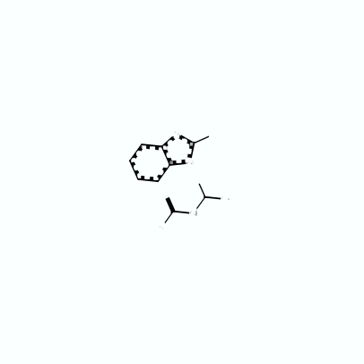 NC(=S)NC(O)O.Sc1nc2ccccc2[nH]1